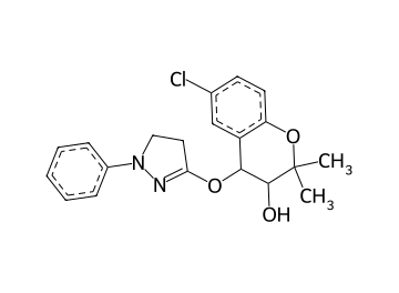 CC1(C)Oc2ccc(Cl)cc2C(OC2=NN(c3ccccc3)CC2)C1O